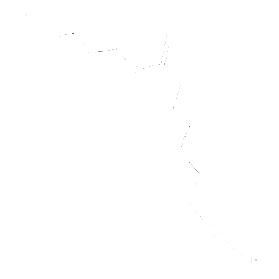 CCCCC#CCCOCCCC(=O)OCCCCBr